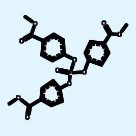 COC(=O)c1ccc(OP(=O)(Oc2ccc(C(=O)OC)cc2)Oc2ccc(C(=O)OC)cc2)cc1